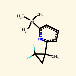 CC1(c2ccc[c]([Sn]([CH3])([CH3])[CH3])n2)CC1(F)F